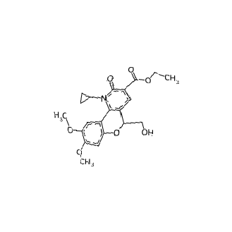 CCOC(=O)c1cc2c(n(C3CC3)c1=O)-c1cc(OC)c(OC)cc1OC2CO